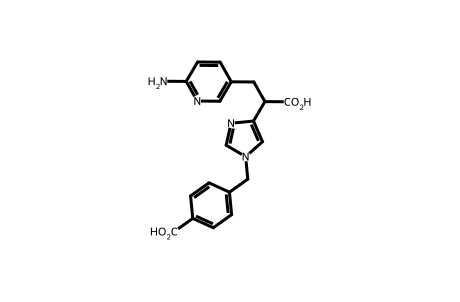 Nc1ccc(CC(C(=O)O)c2cn(Cc3ccc(C(=O)O)cc3)cn2)cn1